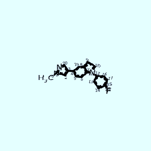 Cn1cc(-c2ccc3c(ccn3-c3ccc(F)cc3)c2)cn1